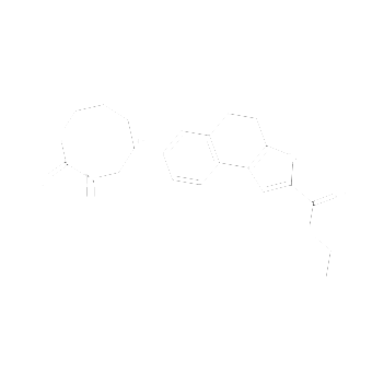 CCOC(=O)c1cc2c(s1)CCc1cc([C@H]3CCCOC(=O)NC3)ccc1-2